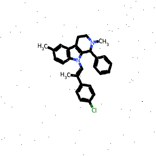 CC(=Cn1c2c(c3cc(C)ccc31)CCN(C)C2c1ccccc1)c1ccc(Cl)cc1